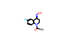 CC(C)(C)C(=O)N1CCC(=NO)c2cc(F)ccc21